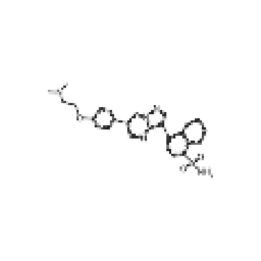 CN(C)CCOc1ccc(-c2cnc3c(-c4ccc(S(N)(=O)=O)c5ccccc45)cnn3c2)cc1